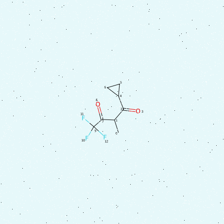 CC(C(=O)C1CC1)C(=O)C(F)(F)F